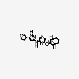 c1ncc(OC2C[C@H]3CCC[C@@H](C2)N3)nc1Nc1cc([C@@H]2CCOC2)[nH]n1